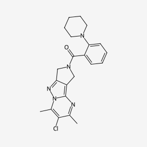 Cc1nc2c3c(nn2c(C)c1Cl)CN(C(=O)c1ccccc1N1CCCCC1)C3